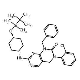 CC(C)(C)[Si](C)(C)O[C@H]1CC[C@H](Nc2ncc3c(n2)N(Cc2ccccc2)C(=O)N(c2ccccc2Cl)C3)CC1